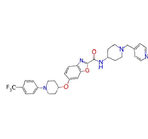 O=C(NC1CCN(Cc2ccncc2)CC1)c1nc2ccc(OC3CCN(c4ccc(C(F)(F)F)cc4)CC3)cc2o1